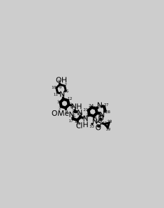 COc1ccc(N2CCC(O)CC2)cc1Nc1ncc(Cl)c(Nc2ccc3nccnc3c2N(C)S(=O)(=O)C2CC2)n1